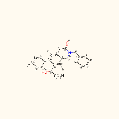 Cc1ccc(-c2c(C)c3c(c(C)c2[C@H](O)C(=O)O)CN(Cc2ccccc2)C(=O)C3)cc1